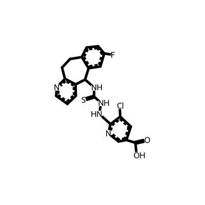 O=C(O)c1cnc(NNC(=S)NC2c3cc(F)ccc3CCc3ncccc32)c(Cl)c1